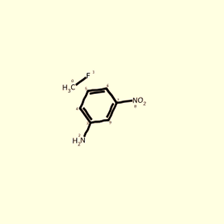 CF.Nc1cccc([N+](=O)[O-])c1